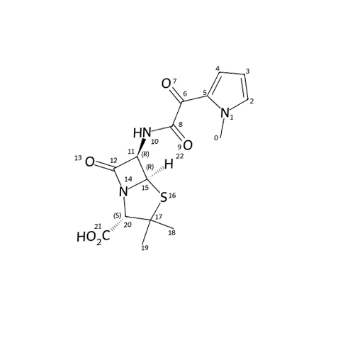 Cn1cccc1C(=O)C(=O)N[C@@H]1C(=O)N2[C@@H]1SC(C)(C)[C@@H]2C(=O)O